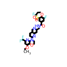 CCOc1cc(C(F)F)nc2c1OCCN2c1ccc2cnc(CNC(=O)c3cc(F)c4c(c3)S(=O)(=O)[C@@H](F)CCO4)cc2n1